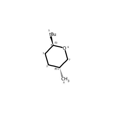 C[C@@H]1CC[C@@H](C(C)(C)C)OC1